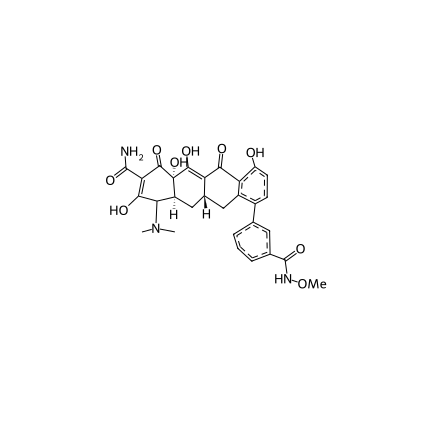 CONC(=O)c1cccc(-c2ccc(O)c3c2C[C@@H]2C[C@H]4C(N(C)C)C(O)=C(C(N)=O)C(=O)[C@@]4(O)C(O)=C2C3=O)c1